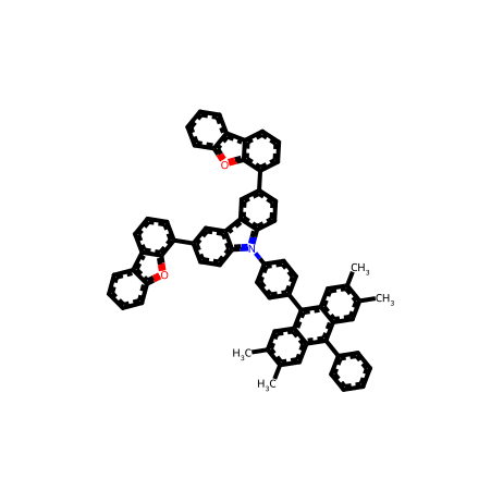 Cc1cc2c(-c3ccccc3)c3cc(C)c(C)cc3c(-c3ccc(-n4c5ccc(-c6cccc7c6oc6ccccc67)cc5c5cc(-c6cccc7c6oc6ccccc67)ccc54)cc3)c2cc1C